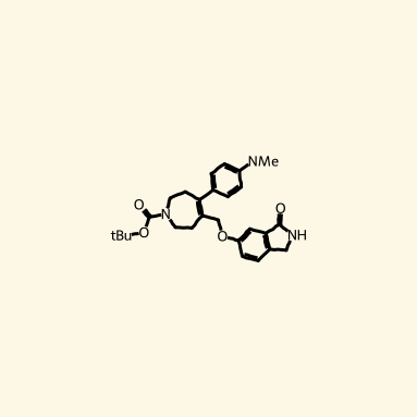 CNc1ccc(C2=C(COc3ccc4c(c3)C(=O)NC4)CCN(C(=O)OC(C)(C)C)CC2)cc1